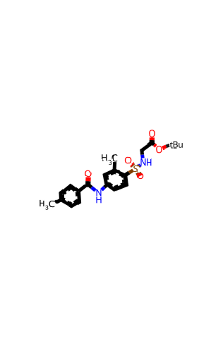 Cc1ccc(C(=O)Nc2ccc(S(=O)(=O)NCC(=O)OC(C)(C)C)c(C)c2)cc1